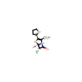 O=C(O)C1=C([C@H]2CCCO2)S[C@@H]2[C@@H](Br)C(=O)N12